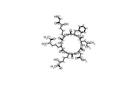 CC(=O)N(C)CCCC1NC(=O)C(CCCN(O)C(=O)C=N)NC(=O)C(Cc2ccccc2)NC(=O)C(CC(C)C)NC(=O)C(CC(N)=O)NC(=O)C(CCCN(O)C(C)=O)NC1=O